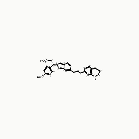 COc1ccc([C@H](CC(=O)O)n2cc3ccc(CCCc4ccc5c(n4)NCCC5)cc3n2)cn1